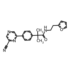 CC(C)(C(=O)NCCc1ccco1)c1ccc(-c2cncc(C#N)n2)cc1